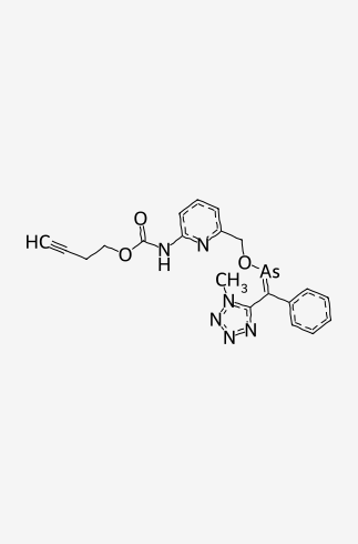 C#CCCOC(=O)Nc1cccc(CO[As]=C(c2ccccc2)c2nnnn2C)n1